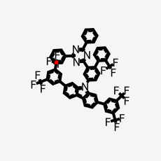 FC(F)(F)c1cc(-c2ccc3c4ccc(-c5cc(C(F)(F)F)cc(C(F)(F)F)c5)cc4n(-c4ccc(-c5ccccc5C(F)(F)F)c(-c5nc(-c6ccccc6)nc(-c6ccccc6)n5)c4)c3c2)cc(C(F)(F)F)c1